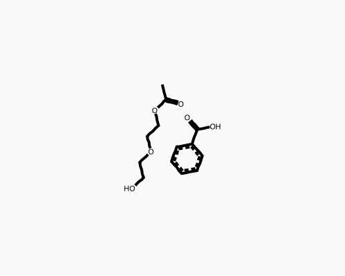 CC(=O)OCCOCCO.O=C(O)c1ccccc1